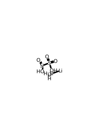 O=[Si](O)S(=O)(=O)O.[LiH].[Li][SiH3]